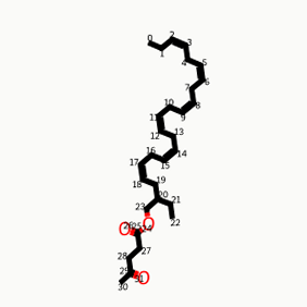 CC/C=C\C/C=C\C/C=C\C/C=C\C/C=C\C/C=C\CC(CC)COC(=O)CCC(C)=O